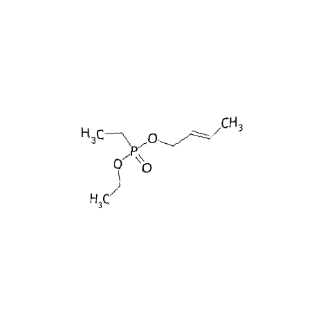 CC=CCOP(=O)(CC)OCC